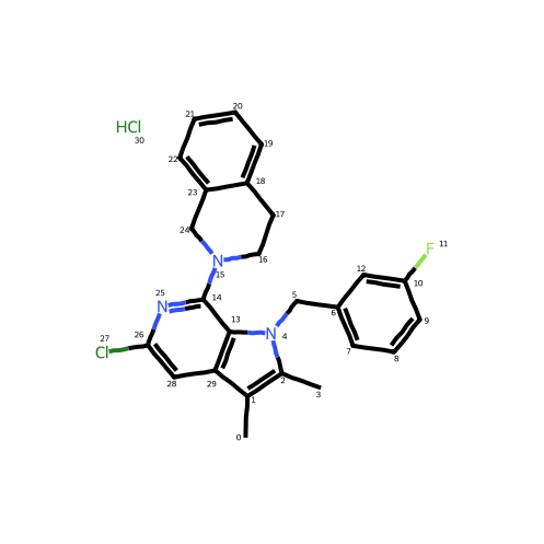 Cc1c(C)n(Cc2cccc(F)c2)c2c(N3CCc4ccccc4C3)nc(Cl)cc12.Cl